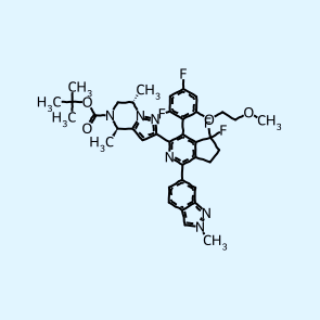 COCCOc1cc(F)cc(F)c1-c1c(-c2cc3n(n2)[C@@H](C)CN(C(=O)OC(C)(C)C)[C@@H]3C)nc(-c2ccc3cn(C)nc3c2)c2c1C(F)(F)CC2